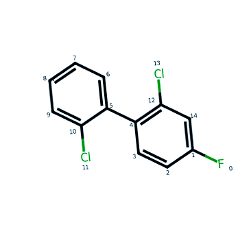 Fc1ccc(-c2cc[c]cc2Cl)c(Cl)c1